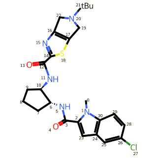 Cn1c(C(=O)N[C@@H]2CCC[C@H]2NC(=O)c2nc3c(s2)CN(C(C)(C)C)C3)cc2cc(Cl)ccc21